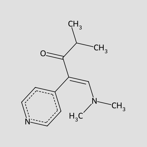 CC(C)C(=O)C(=CN(C)C)c1ccncc1